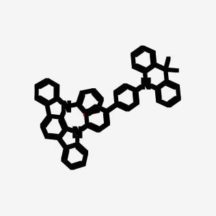 CC1(C)c2ccccc2N(c2ccc(-c3ccc(-n4c5ccccc5c5ccc6c7ccccc7n(-c7ccccc7)c6c54)cc3)cc2)c2ccccc21